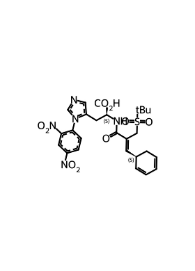 CC(C)(C)S(=O)(=O)CC(=C[C@@H]1C=CC=CC1)C(=O)N[C@@H](Cc1cncn1-c1ccc([N+](=O)[O-])cc1[N+](=O)[O-])C(=O)O